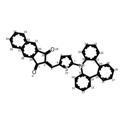 O=C1C(=Cc2ccc(N3c4ccccc4-c4ccccc4-c4ccccc43)s2)C(=O)c2cc3ccccc3cc21